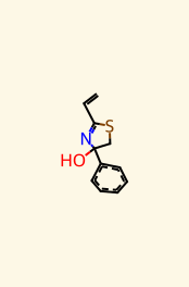 C=CC1=NC(O)(c2ccccc2)CS1